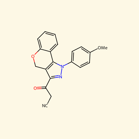 COc1ccc(-n2nc(C(=O)CC#N)c3c2-c2ccccc2OC3)cc1